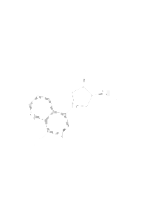 Cc1ncc(N2C[C@@H](C)[C@@H](N)C2)c2cccnc12